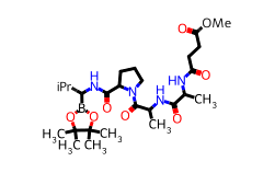 COC(=O)CCC(=O)NC(C)C(=O)NC(C)C(=O)N1CCCC1C(=O)NC(B1OC(C)(C)C(C)(C)O1)C(C)C